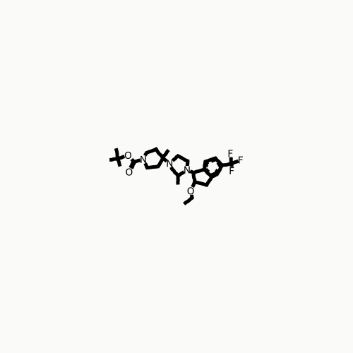 CCOC1Cc2cc(C(F)(F)F)ccc2C1N1CCN(C2(C)CCN(C(=O)OC(C)(C)C)CC2)CC1C